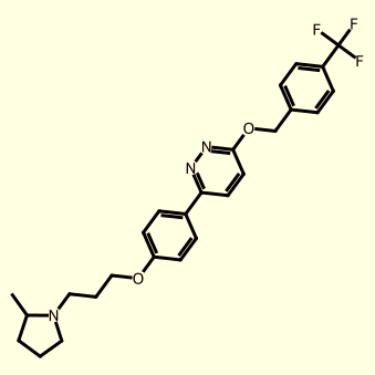 CC1CCCN1CCCOc1ccc(-c2ccc(OCc3ccc(C(F)(F)F)cc3)nn2)cc1